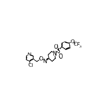 O=S(=O)(c1ccc(OC(F)(F)F)cc1)N1CCC(=NOCc2cnccc2Cl)CC1